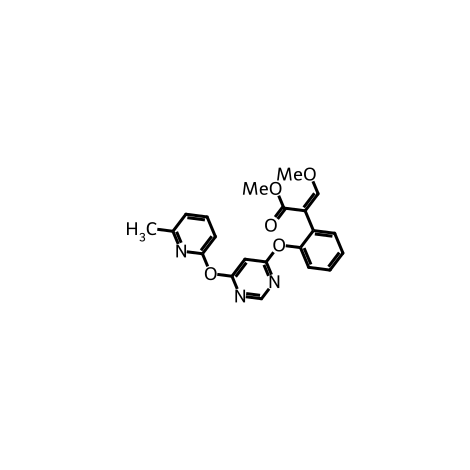 COC=C(C(=O)OC)c1ccccc1Oc1cc(Oc2cccc(C)n2)ncn1